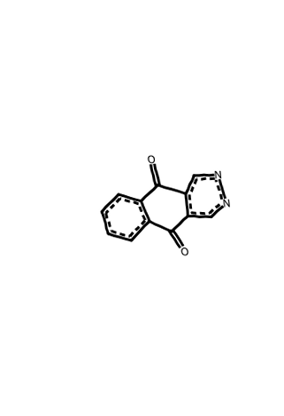 O=C1c2ccccc2C(=O)c2cnncc21